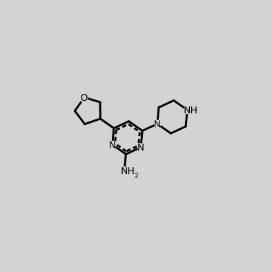 Nc1nc(C2CCOC2)cc(N2CCNCC2)n1